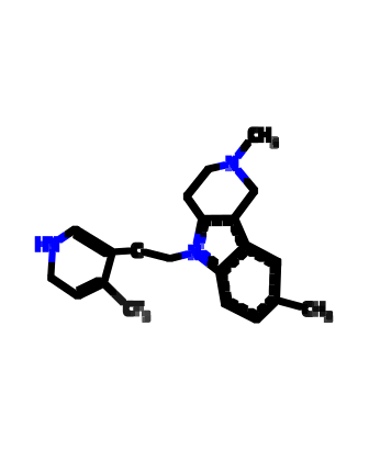 Cc1ccc2c(c1)c1c(n2CCC2=CNCC=C2C(F)(F)F)CCN(C)C1